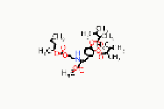 CCCC(C)OC(=O)OCCN[C@@H](Cc1ccc(OC(=O)C(C)C(C)C)c(OC(=O)C(C)C(C)C)c1)C(=O)OC